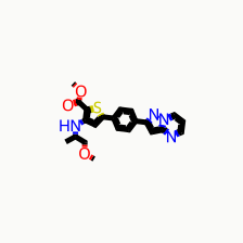 COCC(C)Nc1cc(-c2ccc(-c3cc4ncccn4n3)cc2)sc1C(=O)OC